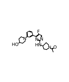 CC(=O)N1CCC(Nc2ncc(F)c(-c3cccc(N4CCC(O)CC4)c3)n2)CC1